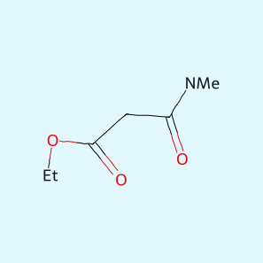 CCOC(=O)CC(=O)NC